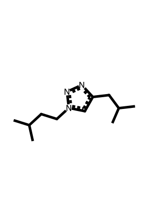 CC(C)CCn1cc(CC(C)C)nn1